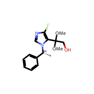 COC(CO)(OC)c1c(F)ncn1[C@H](C)c1ccccc1